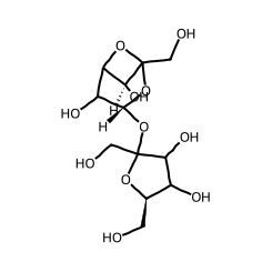 OC[C@H]1OC(CO)(O[C@H]2OC3(CO)OC(C2O)[C@@H]3O)C(O)C1O